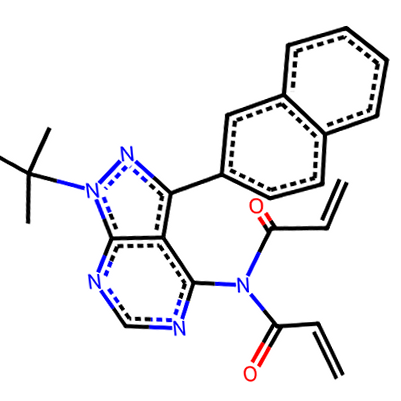 C=CC(=O)N(C(=O)C=C)c1ncnc2c1c(-c1ccc3ccccc3c1)nn2C(C)(C)C